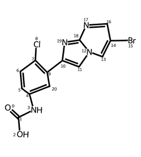 O=C(O)Nc1ccc(Cl)c(-c2cn3cc(Br)cnc3n2)c1